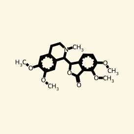 COc1cc2c(cc1OC)C(C1OC(=O)c3c1ccc(OC)c3OC)N(C)CC2